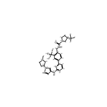 CN1CC[C@H](n2cc(Nc3nccc(-c4ccc(CNC(=O)N5CCC(C(C)(C)C)C5)c(C(F)(F)F)c4)n3)cn2)C1